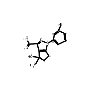 CC1(O)CCc2c1c(C(=O)O)nn2-c1cccc(Br)c1